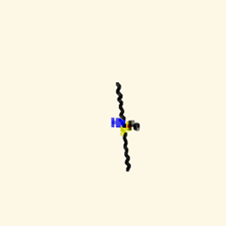 CCCCCCCCCCNC(=S)SCCCCCCCCCC.[Fe]